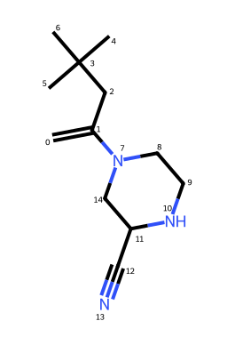 C=C(CC(C)(C)C)N1CCNC(C#N)C1